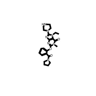 CCn1c(N2CCNCC2)nc2nc(Oc3ccccc3C(=O)N3CCCC3)n(C)c(=O)c21